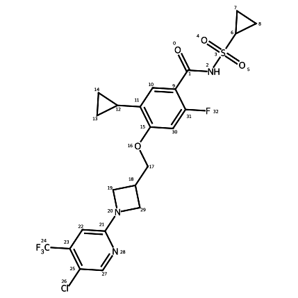 O=C(NS(=O)(=O)C1CC1)c1cc(C2CC2)c(OCC2CN(c3cc(C(F)(F)F)c(Cl)cn3)C2)cc1F